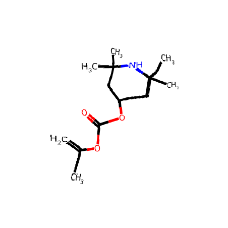 C=C(C)OC(=O)OC1CC(C)(C)NC(C)(C)C1